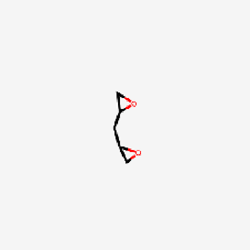 C1OC1CC1CO1